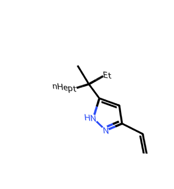 C=Cc1cc(C(C)(CC)CCCCCCC)[nH]n1